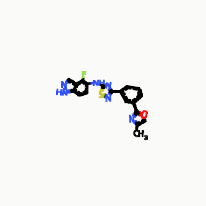 Cc1coc(-c2cccc(-c3nsc(Nc4ccc5[nH]ncc5c4F)n3)c2)n1